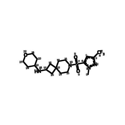 Cn1nc(C(F)(F)F)cc1S(=O)(=O)N1CCC2(CC1)CC(NC1CCOCC1)C2